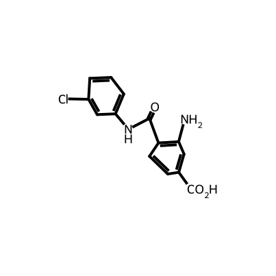 Nc1cc(C(=O)O)ccc1C(=O)Nc1cccc(Cl)c1